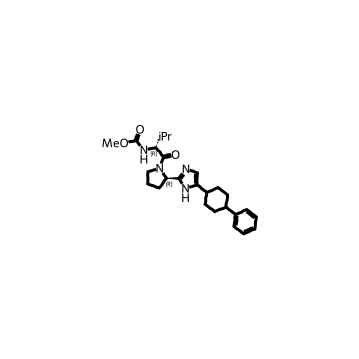 COC(=O)N[C@@H](C(=O)N1CCC[C@@H]1c1ncc(C2CCC(c3ccccc3)CC2)[nH]1)C(C)C